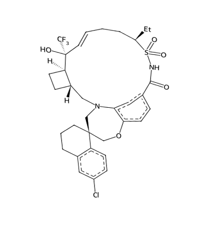 CC[C@@H]1CC/C=C/[C@@](O)(C(F)(F)F)[C@@H]2CC[C@H]2CN2C[C@@]3(CCCc4cc(Cl)ccc43)COc3ccc(cc32)C(=O)NS1(=O)=O